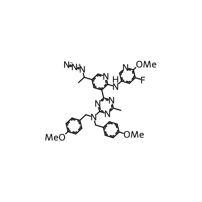 COc1ccc(CN(Cc2ccc(OC)cc2)c2nc(C)nc(-c3cc(C(C)N=[N+]=[N-])cnc3Nc3cnc(OC)c(F)c3)n2)cc1